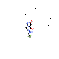 O=C1c2cc(=O)ncn2CCN1NCC(F)(F)F